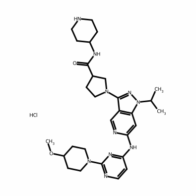 COC1CCN(c2nccc(Nc3cc4c(cn3)c(N3CCC(C(=O)NC5CCNCC5)C3)nn4C(C)C)n2)CC1.Cl